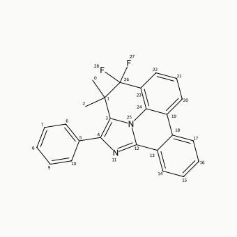 CC1(C)c2c(-c3ccccc3)nc3c4ccccc4c4cccc(c4n23)C1(F)F